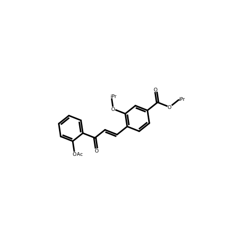 CC(=O)Oc1ccccc1C(=O)/C=C/c1ccc(C(=O)OC(C)C)cc1OC(C)C